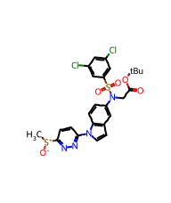 C[S+]([O-])c1ccc(-n2ccc3cc(N(CC(=O)OC(C)(C)C)S(=O)(=O)c4cc(Cl)cc(Cl)c4)ccc32)nn1